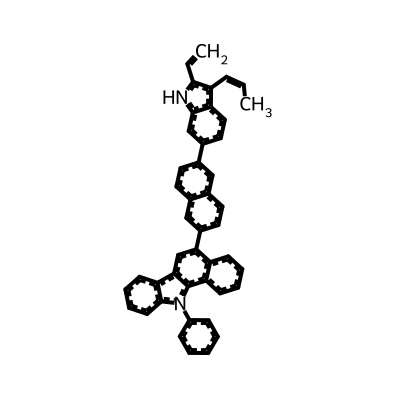 C=Cc1[nH]c2cc(-c3ccc4cc(-c5cc6c7ccccc7n(-c7ccccc7)c6c6ccccc56)ccc4c3)ccc2c1/C=C\C